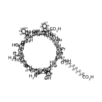 CCCC[C@H]1C(=O)N(C)[C@@H](CCCC)C(=O)N[C@@H](CC(C)C)C(=O)N[C@H](C(=O)NCC(=O)NCCCCCCCCCCC(=O)O)CSCC(=O)N[C@@H](Cc2ccc(O)cc2)C(=O)N(C)[C@@H](C)C(=O)N[C@@H](CC(N)=O)C(=O)N2CCC[C@H]2C(=O)N[C@@H](CO)C(=O)N[C@@H](CCC(N)=O)C(=O)N2C[C@H](O)C[C@H]2C(=O)N[C@@H](Cc2c[nH]c3ccccc23)C(=O)N[C@@H](CO)C(=O)N[C@@H](Cc2cn(CC(=O)O)c3ccccc23)C(=O)N1C